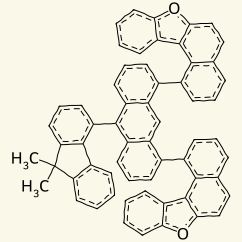 CC1(C)c2ccccc2-c2c(-c3c4cccc(-c5cccc6ccc7oc8ccccc8c7c56)c4cc4c(-c5cccc6ccc7oc8ccccc8c7c56)cccc34)cccc21